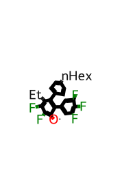 CCCCCCc1ccc(-c2c(CC)c(F)c(F)c([O])c2-c2cc(F)c(F)c(F)c2)cc1